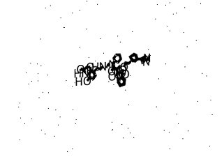 Cn1cc(-c2cccc(CCOCC(C(=O)N(CCNCCc3ccc(O)c4c3OCC(=O)N4)C3CCCCC3)N3C(=O)c4ccccc4S3(=O)=O)c2)cn1